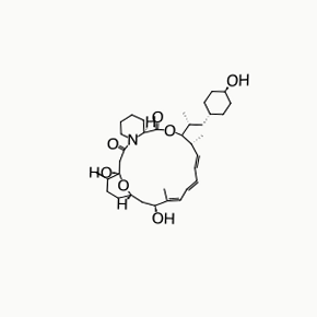 C\C1=C/C=C/C=C/[C@@H](C)C([C@H](C)C[C@H]2CC[C@H](O)CC2)OC(=O)[C@@H]2CCCCN2C(=O)C[C@]2(O)O[C@@H](CC[C@H]2C)C[C@@H]1O